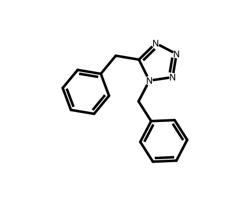 c1ccc(Cc2nnnn2Cc2ccccc2)cc1